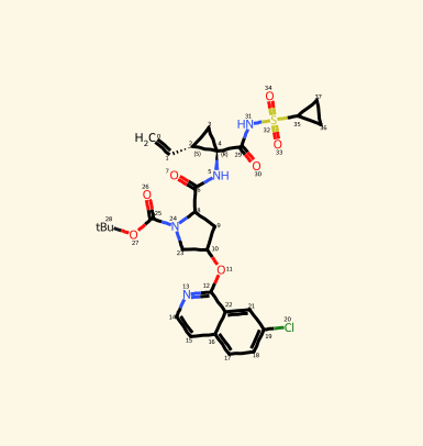 C=C[C@@H]1C[C@]1(NC(=O)C1CC(Oc2nccc3ccc(Cl)cc23)CN1C(=O)OC(C)(C)C)C(=O)NS(=O)(=O)C1CC1